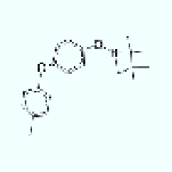 Cc1ccc(Oc2ccc(OB3CC(C)(C)C3(C)C)cc2)cc1